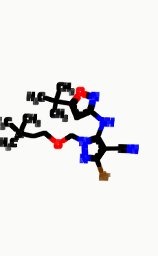 CC(C)(C)c1cc(Nc2c(C#N)c(Br)nn2COCC[Si](C)(C)C)no1